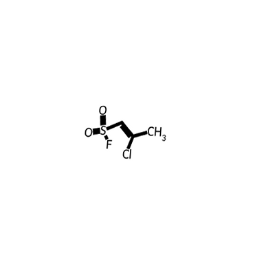 CC(Cl)=CS(=O)(=O)F